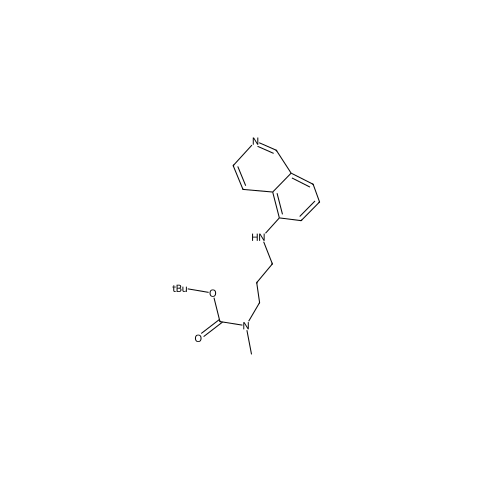 CN(CCCNc1cccc2cnccc12)C(=O)OC(C)(C)C